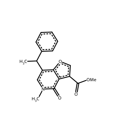 COC(=O)c1coc2c(C(C)c3ccccc3)cn(C)c(=O)c12